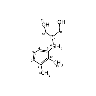 Cc1cccc([SiH2]P(CO)CO)c1C